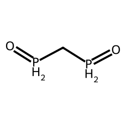 O=[PH2]C[PH2]=O